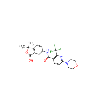 CC1(C)OB(O)c2cc(NC(=O)c3ccc(N4CCOCC4)nc3C(F)(F)F)ccc21